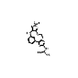 CCOC1=NS(=O)(=O)N=C1Nc1cccc(-c2cnc(NC(=N)N)s2)c1